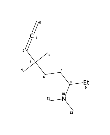 C=C=CC(C)(C)CCC(CC)N(C)C